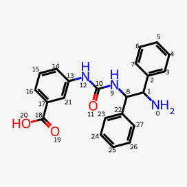 NC(c1ccccc1)C(NC(=O)Nc1cccc(C(=O)O)c1)c1ccccc1